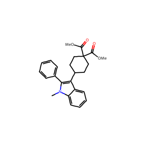 COC(=O)C1(C(=O)OC)CCC(c2c(-c3ccccc3)n(C)c3ccccc23)CC1